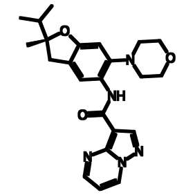 CC(C)[C@@]1(C)Cc2cc(NC(=O)c3cnn4cccnc34)c(N3CCOCC3)cc2O1